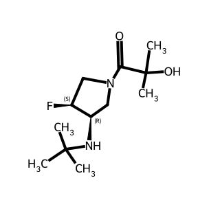 CC(C)(C)N[C@@H]1CN(C(=O)C(C)(C)O)C[C@@H]1F